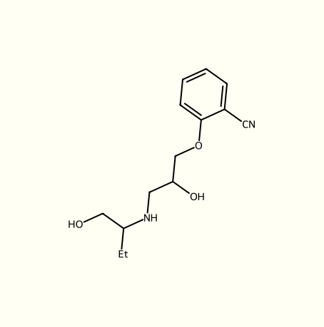 CCC(CO)NCC(O)COc1ccccc1C#N